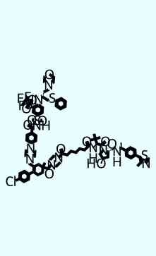 Cc1ncsc1-c1ccc([C@H](C)NC(=O)[C@@H]2C[C@@H](O)CN2C(=O)[C@@H](NC(=O)CCCCCC(=O)N2CCN(C(=O)C3(C)CCC(c4ccc(Cl)cc4)=C(CN4CCN(c5ccc(C(=O)NS(=O)(=O)c6ccc(N[C@H](CCN7CCOCC7)CSc7ccccc7)c(S(=O)(=O)C(F)(F)F)c6)cc5)CC4)C3)CC2)C(C)(C)C)cc1